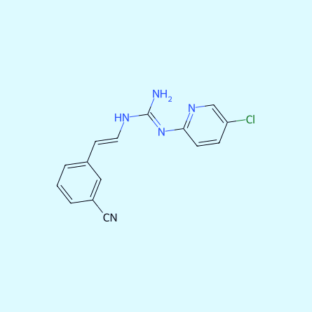 N#Cc1cccc(C=CNC(N)=Nc2ccc(Cl)cn2)c1